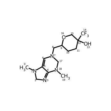 CN1CN=C2C1=CN(CC1CCC(O)(C(F)(F)F)CO1)CN2C